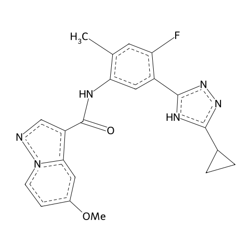 COc1ccn2ncc(C(=O)Nc3cc(-c4nnc(C5CC5)[nH]4)c(F)cc3C)c2c1